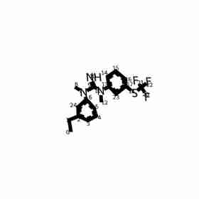 CCc1cccc(N(C)C(=N)N(C)c2cccc(SC(F)(F)F)c2)c1